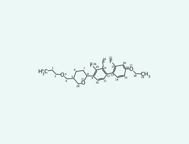 CCCOCC1CCC(c2ccc(-c3ccc(OCC)cc3F)c(F)c2F)OC1